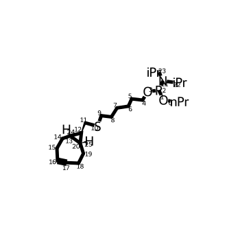 CCCOP(OCCCCCCSC[C@@H]1[C@@H]2CCC#CCC[C@@H]21)N(C(C)C)C(C)C